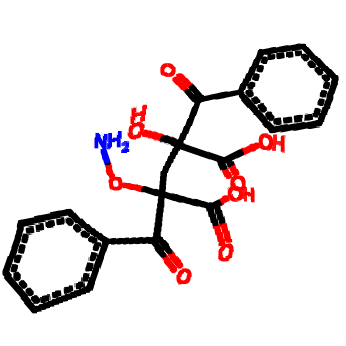 NOC(C(=O)O)(C(=O)c1ccccc1)C(O)(C(=O)O)C(=O)c1ccccc1